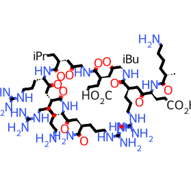 CC[C@H](C)[C@H](NC(=O)[C@H](CCCNC(=N)N)CC(=O)[C@H](CCC(=O)O)NC(=O)[C@@H](C)CCCCN)C(=O)C[C@@H](CCC(=O)O)C(=O)NCC(=O)C[C@@H](CC(C)C)C(=O)N[C@@H](CCCNC(=N)N)C(=O)C[C@@H](CCCCN)C(=O)N[C@@H](CCCNC(=N)N)C(=O)C[C@@H](CCCNC(=N)N)C(N)=O